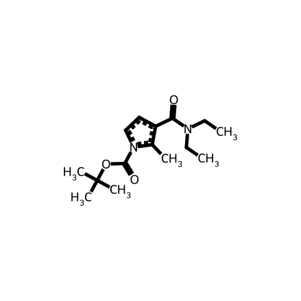 CCN(CC)C(=O)c1ccn(C(=O)OC(C)(C)C)c1C